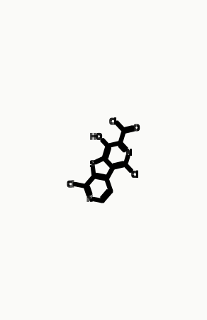 O=C(Cl)c1nc(Cl)c2c(sc3c(Cl)nccc32)c1O